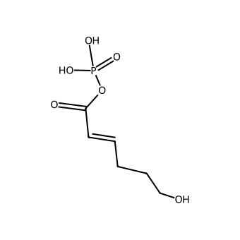 O=C(C=CCCCO)OP(=O)(O)O